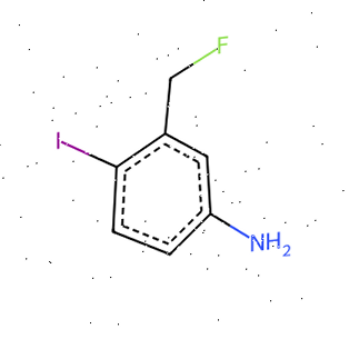 Nc1ccc(I)c(CF)c1